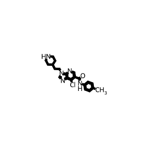 Cc1ccc(NC(=O)c2cnc3c(ncn3CCC3CCNCC3)c2Cl)cc1